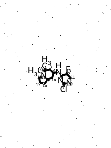 CC1(C)CC(NC2N=C(Cl)N=CC2F)CC2CCCN21